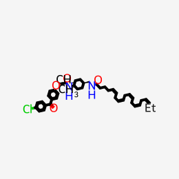 CC/C=C\C/C=C\C/C=C\C/C=C\C/C=C\CCCC(=O)NC[C@H]1CC[C@H](NC(=O)C(C)(C)Oc2ccc(C(=O)c3ccc(Cl)cc3)cc2)CC1